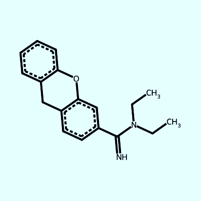 CCN(CC)C(=N)c1ccc2c(c1)Oc1ccccc1C2